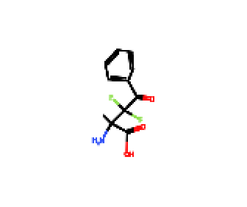 CC(N)(C(=O)O)C(F)(F)C(=O)c1ccccc1